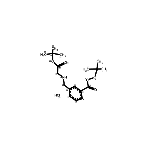 CC(C)(C)OOC(=O)c1cccc(CNCC(=O)OC(C)(C)C)c1.Cl